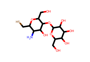 NC1C(CS)OC(CO)C(OC2OC(CO)C(O)C(O)C2O)C1O